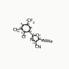 CNc1oc(-c2cc(C(F)(F)F)cc(Cl)c2Cl)nc1C#N